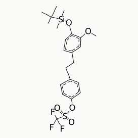 COc1cc(CCc2ccc(OS(=O)(=O)C(F)(F)F)cc2)ccc1O[Si](C)(C)C(C)(C)C